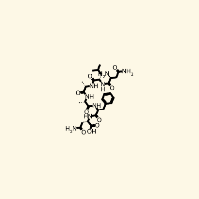 CC(C)C[C@H](NC(=O)[C@@H](N)CC(N)=O)C(=O)N[C@@H](C)C(=O)N[C@@H](C)C(=O)N[C@@H](Cc1ccccc1)C(=O)N[C@@H](CC(N)=O)C(=O)O